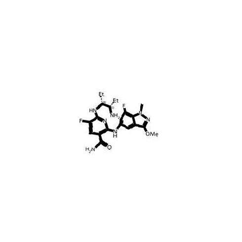 CC[C@H](N)[C@@H](CC)Nc1nc(Nc2cc(F)c3c(c2)c(OC)nn3C)c(C(N)=O)cc1F